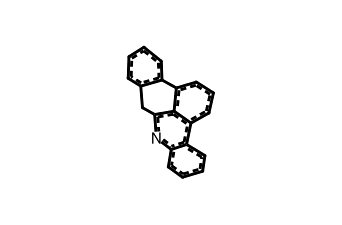 c1ccc2c(c1)Cc1nc3ccccc3c3cccc-2c13